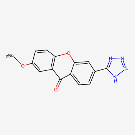 CCCCOc1ccc2oc3cc(-c4nnn[nH]4)ccc3c(=O)c2c1